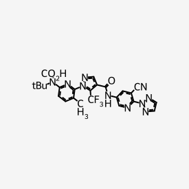 Cc1ccc(N(C(=O)O)C(C)(C)C)nc1-n1ncc(C(=O)Nc2cnc(-n3nccn3)c(C#N)c2)c1C(F)(F)F